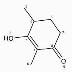 CC1=C(O)C(C)CCC1=O